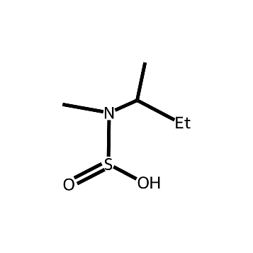 CCC(C)N(C)S(=O)O